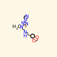 CN(CCNCCc1ccc2c(c1)OCCO2)c1nc(-n2ccnc2)ns1